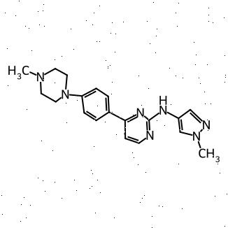 CN1CCN(c2ccc(-c3ccnc(Nc4cnn(C)c4)n3)cc2)CC1